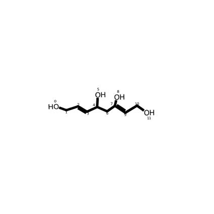 OCC=CC(O)CC(O)=CCO